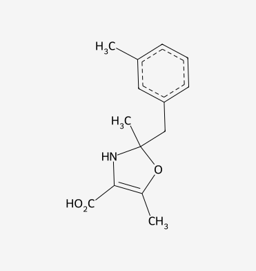 CC1=C(C(=O)O)NC(C)(Cc2cccc(C)c2)O1